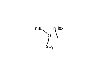 CCCCCCC.CCCCOS(=O)(=O)O